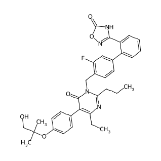 CCCc1nc(CC)c(-c2ccc(OC(C)(C)CO)cc2)c(=O)n1Cc1ccc(-c2ccccc2-c2noc(=O)[nH]2)cc1F